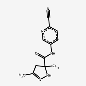 CC1=NNC(C)(C(=O)Nc2ccc(C#N)nc2)C1